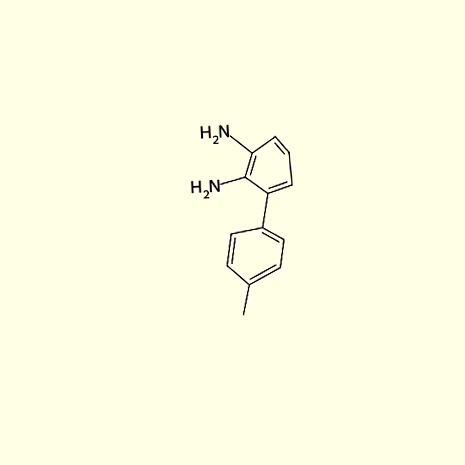 Cc1ccc(-c2cccc(N)c2N)cc1